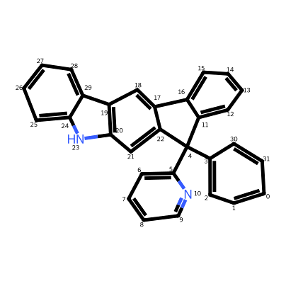 c1ccc(C2(c3ccccn3)c3ccccc3-c3cc4c(cc32)[nH]c2ccccc24)cc1